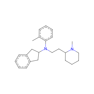 Cc1ccccc1N(CCC1CCCCN1C)C1Cc2ccccc2C1